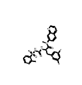 Cc1ccccc1S(=O)(=O)NC(=O)NC(Cc1cc(F)cc(F)c1)C(=O)N(C)c1ccc2cccnc2c1